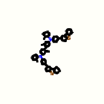 Cc1cc(N(c2ccc(-c3ccc4sc5ccccc5c4c3)cc2)c2ccccc2C)ccc1-c1ccc(N(c2ccc(-c3ccc4sc5ccccc5c4c3)cc2)c2ccccc2C)cc1C